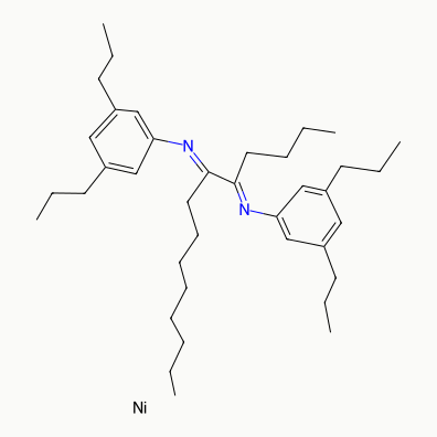 CCCCCCCCC(=N\c1cc(CCC)cc(CCC)c1)/C(CCCC)=N/c1cc(CCC)cc(CCC)c1.[Ni]